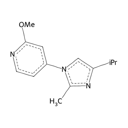 COc1cc(-n2cc(C(C)C)nc2C)ccn1